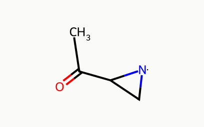 CC(=O)C1C[N]1